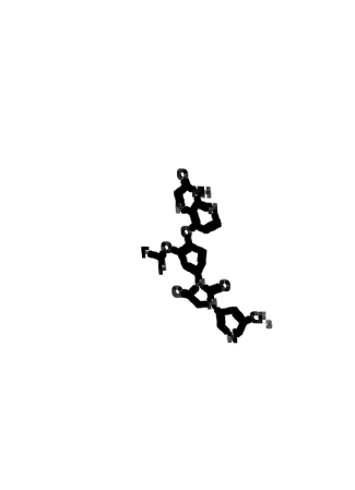 O=C1CN(c2cncc(C(F)(F)F)c2)C(=O)N1c1ccc(Oc2ccnc3[nH]c(=O)cnc23)c(OC(F)F)c1